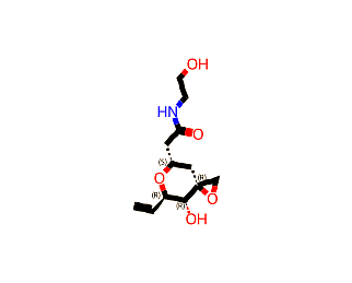 C=C[C@H]1O[C@H](CC(=O)NCCO)C[C@@]2(CO2)[C@@H]1O